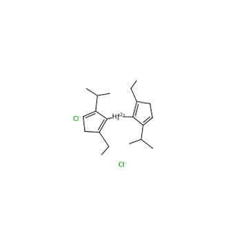 CCC1=[C]([Hf+2][C]2=C(CC)CC=C2C(C)C)C(C(C)C)=CC1.[Cl-].[Cl-]